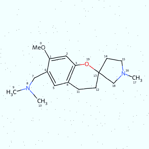 COc1cc2c(cc1CN(C)C)CCC1(CCN(C)C1)O2